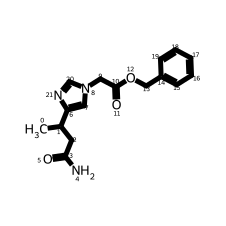 CC(CC(N)=O)c1cn(CC(=O)OCc2ccccc2)cn1